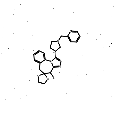 ClC1c2nnc([C@@H]3CCN(Cc4ccccn4)C3)n2-c2ccccc2CC12OCCO2